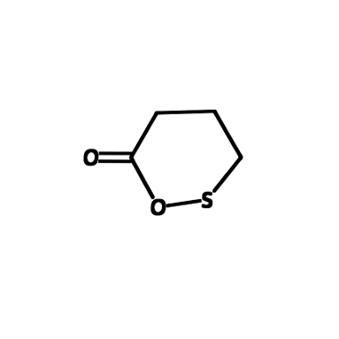 O=C1CCCSO1